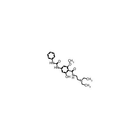 CCN(CC)CCNC(=O)c1c(O)cc(NC(=O)Nc2ccccc2)cc1OC